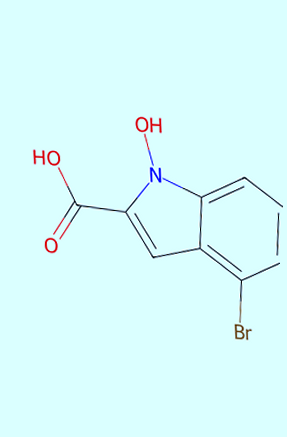 O=C(O)c1cc2c(Br)cccc2n1O